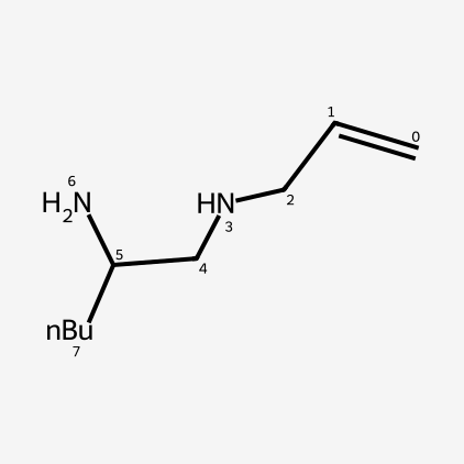 C=CCNCC(N)CCCC